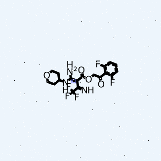 N=C(/C(C(=O)OCC(=O)c1c(F)cccc1F)=C(/N)NC1CCOCC1)C(F)(F)F